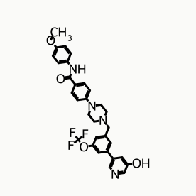 COc1ccc(NC(=O)c2ccc(N3CCN(Cc4cc(OC(F)(F)F)cc(-c5cncc(O)c5)c4)CC3)cc2)cc1